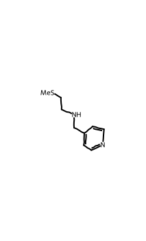 CSCCNCc1ccncc1